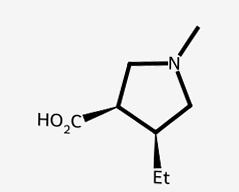 CC[C@@H]1CN(C)C[C@@H]1C(=O)O